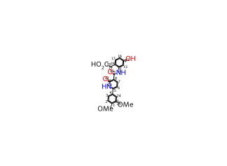 COc1ccc(-c2ccc(C(=O)Nc3cc(O)ccc3CC(=O)O)c(=O)[nH]2)cc1OC